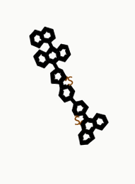 c1ccc2c(-c3c4ccccc4c(-c4ccc5c(c4)sc4cc(-c6ccc7c(c6)sc6c8ccccc8c8ccccc8c76)ccc45)c4ccccc34)cccc2c1